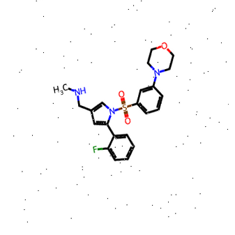 CNCc1cc(-c2ccccc2F)n(S(=O)(=O)c2cccc(N3CCOCC3)c2)c1